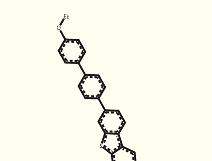 CCOc1ccc(-c2ccc(-c3ccc4c(c3)sc3ccccc34)cc2)cc1